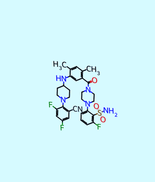 Cc1cc(C)c(C(=O)N2CCN(c3cccc(F)c3S(N)(=O)=O)CC2)cc1NC1CCN(c2c(F)cc(F)cc2C#N)CC1